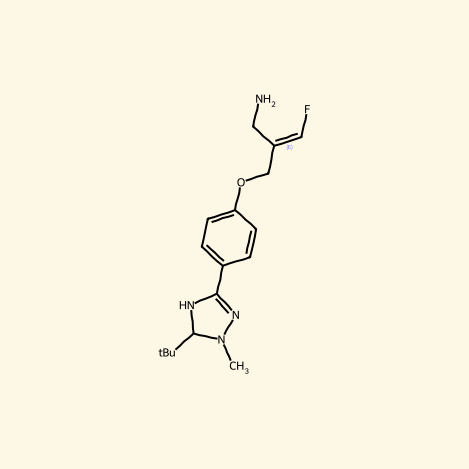 CN1N=C(c2ccc(OC/C(=C/F)CN)cc2)NC1C(C)(C)C